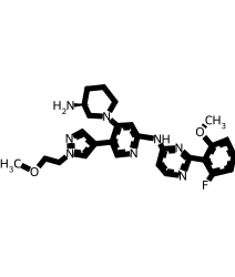 COCCn1cc(-c2cnc(Nc3ccnc(-c4c(F)cccc4OC)n3)cc2N2CCC[C@H](N)C2)cn1